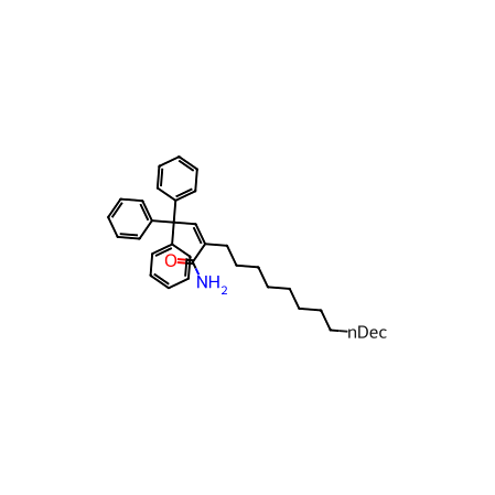 CCCCCCCCCCCCCCCCCC/C(=C/C(c1ccccc1)(c1ccccc1)c1ccccc1)C(N)=O